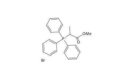 COC(=O)C(C)[P+](c1ccccc1)(c1ccccc1)c1ccccc1.[Br-]